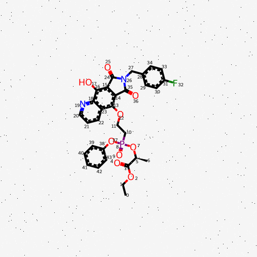 CCOC(=O)[C@H](C)OP(=O)(CCOc1c2c(c(O)c3ncccc13)C(=O)N(Cc1ccc(F)cc1)C2=O)Oc1ccccc1